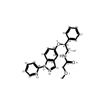 COCC(=O)N[C@@H](C)[C@@H](Oc1ccc2c(cnn2-c2ccccn2)c1)c1ccccc1